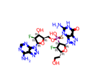 Nc1nc2c(nnn2[C@@H]2O[C@H](CCO)[C@@H](F)[C@H]2P(O)(=S)OC[C@H]2O[C@@H](n3nnc4c(N)ncnc43)[C@@H](F)[C@@H]2O)c(=O)[nH]1